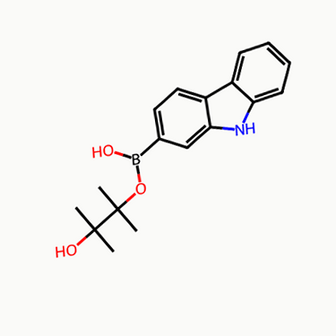 CC(C)(O)C(C)(C)OB(O)c1ccc2c(c1)[nH]c1ccccc12